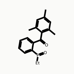 CC[P](=O)c1ccccc1C(=O)c1c(C)cc(C)cc1C